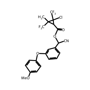 COc1ccc(Oc2cccc(C(C#N)OC(=O)C3C(C)(C(F)(F)F)C3(Cl)C(F)(F)F)c2)cc1